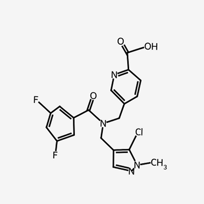 Cn1ncc(CN(Cc2ccc(C(=O)O)nc2)C(=O)c2cc(F)cc(F)c2)c1Cl